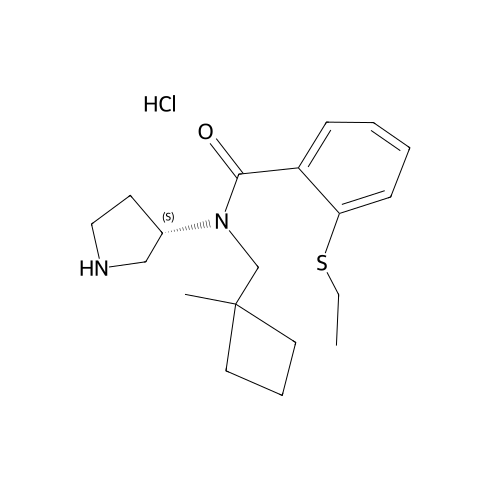 CCSc1ccccc1C(=O)N(CC1(C)CCC1)[C@H]1CCNC1.Cl